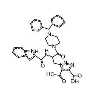 O=C(NC(Cn1nnc(C(=O)O)c1C(=O)O)C(=O)N1CCN(C(c2ccccc2)c2ccccc2)CC1)c1cc2ccccc2[nH]1